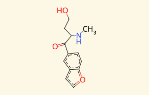 CNC(CCO)C(=O)c1ccc2occc2c1